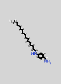 CCCCCCCCCCCCCCCCNc1ccc(CN)cc1